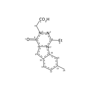 CCc1nn(CC(=O)O)c(=O)c2cc3ccc(C)cc3n12